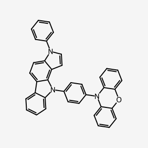 c1ccc(-n2ccc3c2ccc2c4ccccc4n(-c4ccc(N5c6ccccc6Oc6ccccc65)cc4)c23)cc1